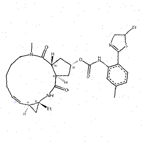 CCC1CN=C(c2ccc(C)cc2NC(=O)O[C@@H]2C[C@H]3C(=O)N[C@]4(CC)C[C@H]4/C=C\CCCCN(C)C(=O)[C@@H]3C2)S1